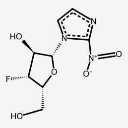 O=[N+]([O-])c1nccn1[C@@H]1O[C@H](CO)[C@H](F)[C@H]1O